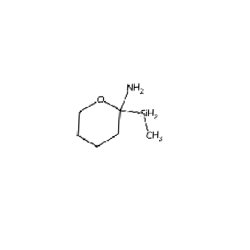 C[SiH2]C1(N)CCCCO1